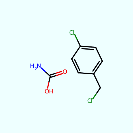 ClCc1ccc(Cl)cc1.NC(=O)O